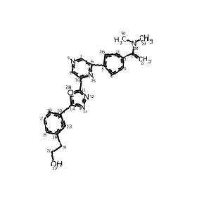 C=C(c1ccc(-c2cncc(-c3nnc(-c4cccc(CCO)c4)o3)n2)cc1)N(C)C